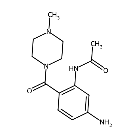 CC(=O)Nc1cc(N)ccc1C(=O)N1CCN(C)CC1